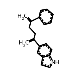 C=C(CCC(=C)c1ccc2[nH]ccc2c1)c1ccccc1